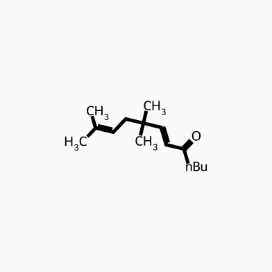 CCCCC(=O)/C=C/C(C)(C)CC=C(C)C